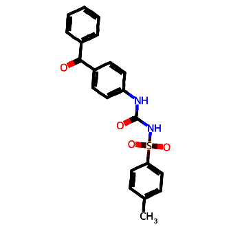 Cc1ccc(S(=O)(=O)NC(=O)Nc2ccc(C(=O)c3ccccc3)cc2)cc1